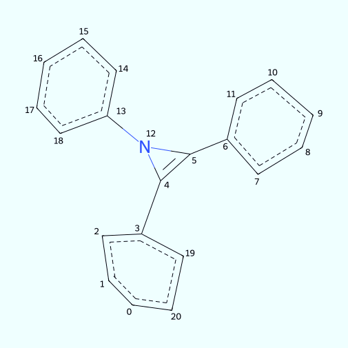 c1ccc(C2=C(c3ccccc3)N2c2ccccc2)cc1